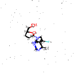 CCc1ncnc2c1c(F)cn2[C@H]1CCC(CO)O1